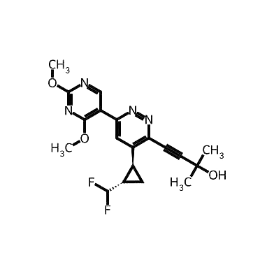 COc1ncc(-c2cc([C@H]3C[C@@H]3C(F)F)c(C#CC(C)(C)O)nn2)c(OC)n1